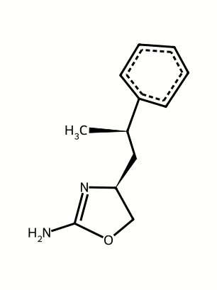 C[C@H](C[C@H]1COC(N)=N1)c1ccccc1